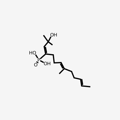 CC=CCC/C(C)=C/CC/C(=C\C(C)(C)O)P(=O)(O)O